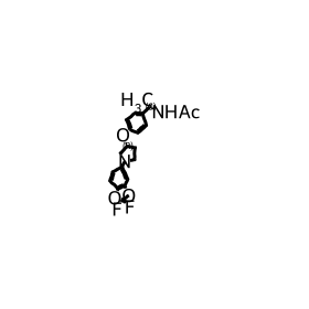 CC(=O)N[C@@H](C)c1ccc(O[C@@H]2CCN(c3ccc4c(c3)OC(F)(F)O4)C2)cc1